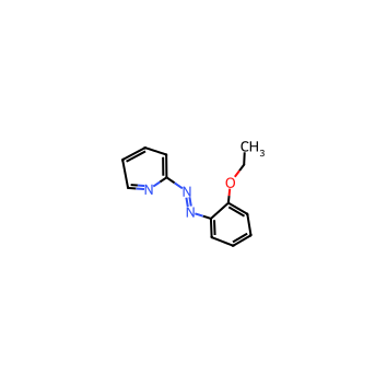 CCOc1ccccc1N=Nc1ccccn1